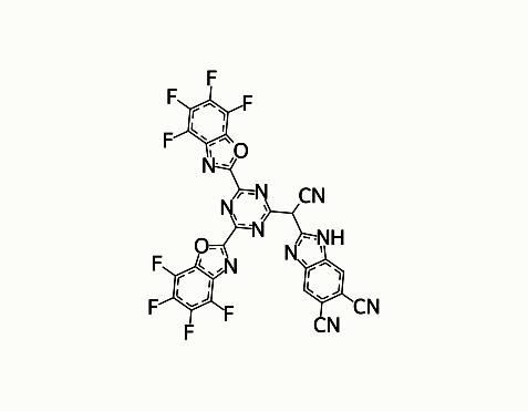 N#Cc1cc2nc(C(C#N)c3nc(-c4nc5c(F)c(F)c(F)c(F)c5o4)nc(-c4nc5c(F)c(F)c(F)c(F)c5o4)n3)[nH]c2cc1C#N